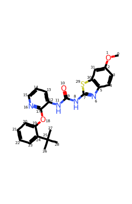 COc1ccc2nc(NC(=O)Nc3cccnc3Oc3ccccc3C(C)(C)C)sc2c1